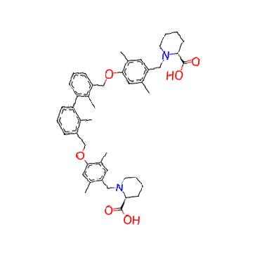 Cc1cc(OCc2cccc(-c3cccc(COc4cc(C)c(CN5CCCC[C@H]5C(=O)O)cc4C)c3C)c2C)c(C)cc1CN1CCCC[C@H]1C(=O)O